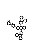 c1cncc(-c2ccc(-c3ccc4c(-c5ccc6c(c5)C5(CCCCC5)c5ccccc5-6)c5ccccc5c(-c5ccc6c(c5)C5(CCCCC5)c5ccccc5-6)c4c3)cn2)c1